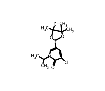 CC(C)n1cc(B2OC(C)(C)C(C)(C)O2)cc(Cl)c1=O